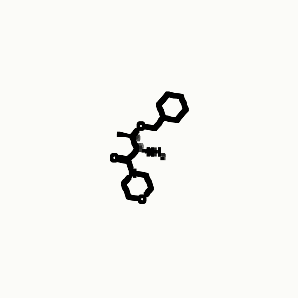 C[C@@H](OCC1CCCCC1)[C@H](N)C(=O)N1CCOCC1